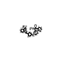 CC(C)OC(=O)c1cccnc1N1CCN(Cc2ccc(COC3=C(C(C)(F)F)CCC=C3)cc2)CC1